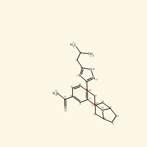 CC(C)Cc1nc(CCCN2C3CCC2CC(c2cccc(C(N)=O)c2)C3)no1